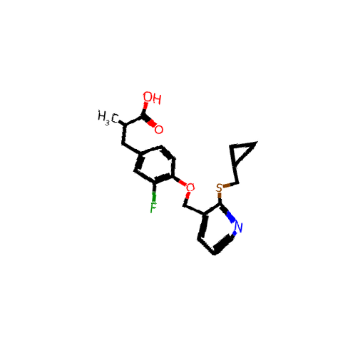 CC(Cc1ccc(OCc2cccnc2SCC2CC2)c(F)c1)C(=O)O